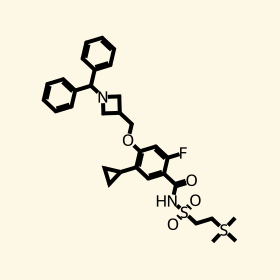 CS(C)(C)CCS(=O)(=O)NC(=O)c1cc(C2CC2)c(OCC2CN(C(c3ccccc3)c3ccccc3)C2)cc1F